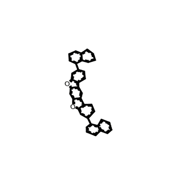 c1ccc2c(-c3ccc4c(c3)oc3cc5oc6cc(-c7cccc8ccccc78)ccc6c5cc34)cccc2c1